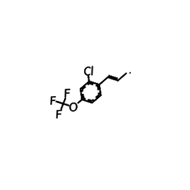 [CH2]/C=C/c1ccc(OC(F)(F)F)cc1Cl